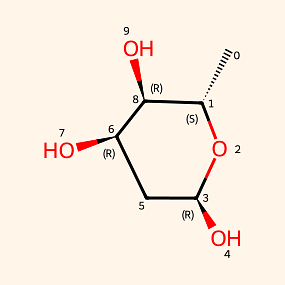 C[C@@H]1O[C@@H](O)C[C@@H](O)[C@H]1O